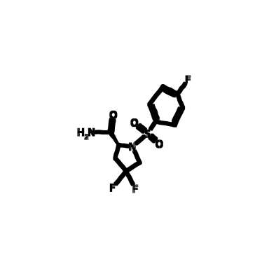 NC(=O)[C@@H]1CC(F)(F)CN1S(=O)(=O)c1ccc(F)cc1